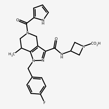 CC1CN(C(=O)c2ccc[nH]2)Cc2c(C(=O)NC3CN(C(=O)O)C3)nn(Cc3ccc(F)cc3)c21